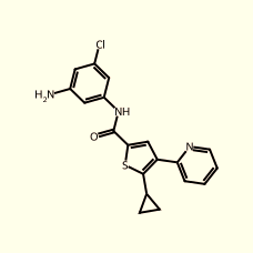 Nc1cc(Cl)cc(NC(=O)c2cc(-c3ccccn3)c(C3CC3)s2)c1